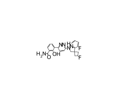 NC(=O)c1cccc(-c2ccc(NCC3(c4ncccc4F)CC(F)C3)nn2)c1O